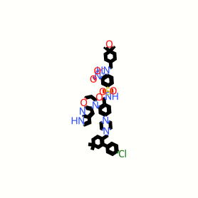 CC1(C)CCC(CN2CCN(c3ccc(C(=O)NS(=O)(=O)c4ccc(NCC5CCC6(CC5)COC6)c([N+](=O)[O-])c4)c(N4CCCOc5nc6[nH]ccc6cc54)c3)CC2)=C(c2ccc(Cl)cc2)C1